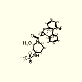 C[C@H]1C[C@@H](NS(C)(=O)=O)CCCN1C(=O)[C@@H]1C[C@H]1c1ccccc1-c1c(F)cccc1F